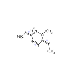 C\C=C/N=C\C(=C/C)C(C)N